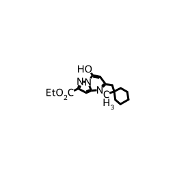 CCOC(=O)c1cc2nc(CC3(C)CCCCC3)cc(O)n2n1